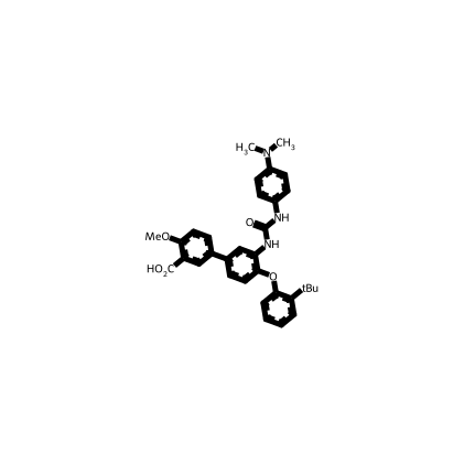 COc1ccc(-c2ccc(Oc3ccccc3C(C)(C)C)c(NC(=O)Nc3ccc(N(C)C)cc3)c2)cc1C(=O)O